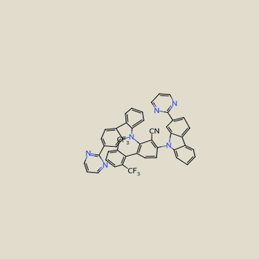 N#Cc1c(-n2c3ccccc3c3ccc(-c4ncccn4)cc32)ccc(-c2c(C(F)(F)F)cccc2C(F)(F)F)c1-n1c2ccccc2c2ccc(-c3ncccn3)cc21